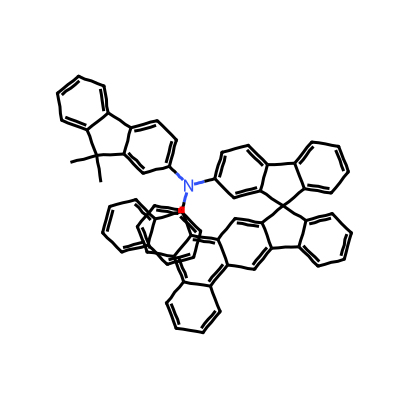 CC1(C)c2ccccc2-c2ccc(N(c3ccc4c(c3)C3(c5ccccc5-4)c4ccccc4-c4cc5c6ccccc6c6ccccc6c5cc43)c3cccc4ccccc34)cc21